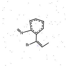 C=Nc1ccccc1/C(Br)=C\C